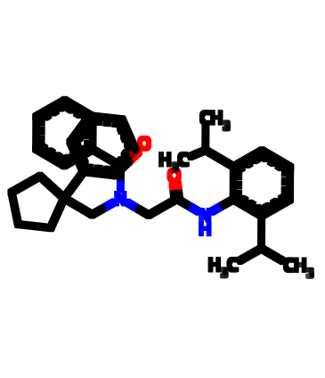 CC(C)c1cccc(C(C)C)c1NC(=O)CN(CC1(c2ccccc2)CCCC1)C(=O)c1ccccc1